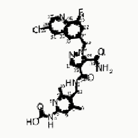 Cc1cc(NC(=O)O)nc(C)c1CNC(=O)c1cnn(Cc2cc(F)c3ncc(Cl)cc3c2)c1C(N)=O